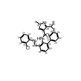 Cn1cc(C(=O)Nc2c(/N=N/c3ccccc3Cl)cccc2-c2ccccc2)c(C(F)F)n1